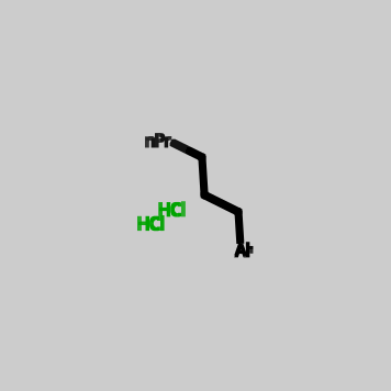 CCCCC[CH2][Al].Cl.Cl